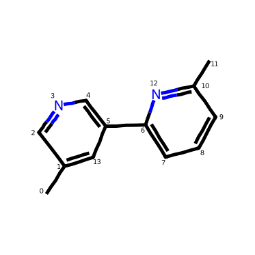 Cc1cncc(-c2cccc(C)n2)c1